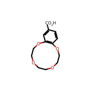 O=C(O)c1ccc2c(c1)OCCOCCOCCO2